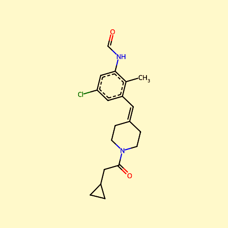 Cc1c(C=C2CCN(C(=O)CC3CC3)CC2)cc(Cl)cc1NC=O